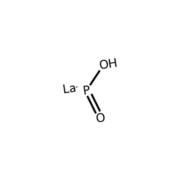 O=PO.[La]